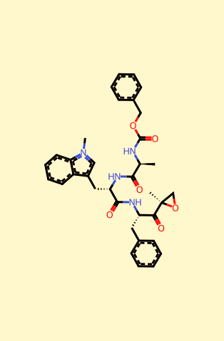 C[C@H](NC(=O)OCc1ccccc1)C(=O)N[C@@H](Cc1cn(C)c2ccccc12)C(=O)N[C@@H](Cc1ccccc1)C(=O)[C@@]1(C)CO1